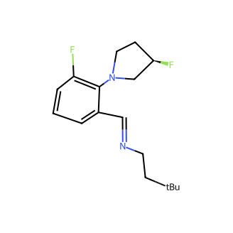 CC(C)(C)CC/N=C/c1cccc(F)c1N1CC[C@@H](F)C1